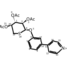 CC(=O)O[C@@H]1[C@@H](OC(C)=O)[C@@H](Oc2cccc(-c3ccncc3)c2)SC[C@H]1OC(C)=O